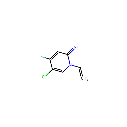 C=Cn1cc(Cl)c(F)cc1=N